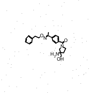 C/C(=N\OCCc1ccccc1)c1ccc(C(=O)N2CCC(N)(CO)C2)cc1